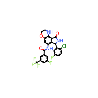 O=C(Nc1cc2c(c3c1C(c1cc(F)ccc1Cl)NC3=O)NCCO2)c1cc(F)cc(C(F)(F)F)c1